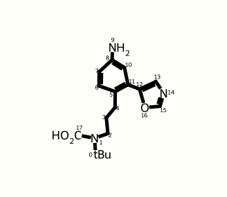 CC(C)(C)N(CCCc1ccc(N)cc1-c1cnco1)C(=O)O